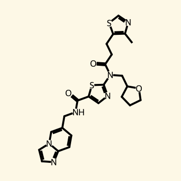 Cc1ncsc1CCC(=O)N(CC1CCCO1)c1ncc(C(=O)NCc2ccc3nccn3c2)s1